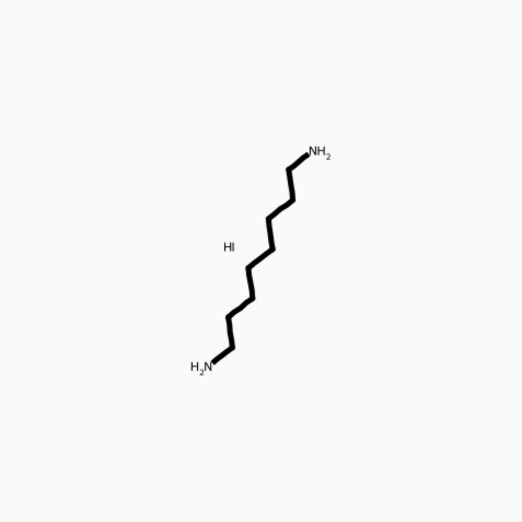 I.NCCCCCCCCN